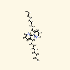 CCCCCCCCCc1cccnc1-c1ncccc1CCCCCCCCC